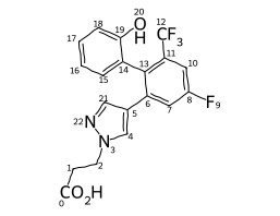 O=C(O)CCn1cc(-c2cc(F)cc(C(F)(F)F)c2-c2ccccc2O)cn1